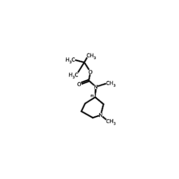 CN1CCC[C@@H](N(C)C(=O)OC(C)(C)C)C1